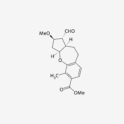 COC(=O)c1ccc2c(c1C)O[C@H]1C[C@@H](OC)[C@H](C=O)[C@H]1CC2